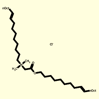 CCCCCCCCC=CCCCCCCCCOC(=O)C[N+](C)(C)CCCCCCCCC=CCCCCCCCC.[Cl-]